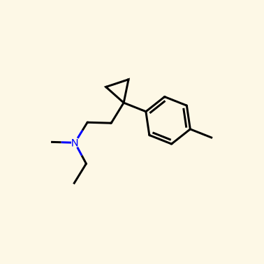 CCN(C)CCC1(c2ccc(C)cc2)CC1